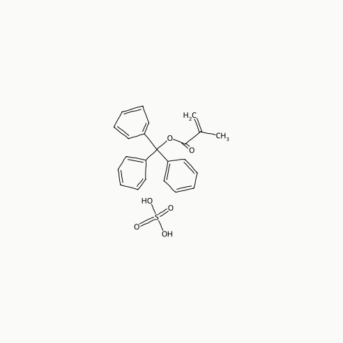 C=C(C)C(=O)OC(c1ccccc1)(c1ccccc1)c1ccccc1.O=S(=O)(O)O